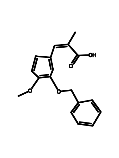 COc1ccc(C=C(C)C(=O)O)cc1OCc1ccccc1